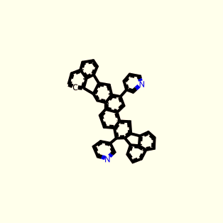 c1cncc(-c2cc3c4cc5c(c(-c6cccnc6)c4ccc3c3cc4c(cc23)-c2cccc3cccc-4c23)-c2cccc3cccc-5c23)c1